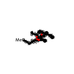 C=C(C)C(=O)NCCOC(=O)C(C)(C)CC(C)(CC(C#N)CC(CC(C)c1ccccc1)c1ccc(CSc2nnc(SC3=C(/C=C/C(C)=[N+](\C)c4ccccc4C)CCC/C3=C\C=C(/C)N(C)c3ccccc3C)s2)cc1)C(=O)OCCNC(=O)NCCC(C)OCCOCCOC